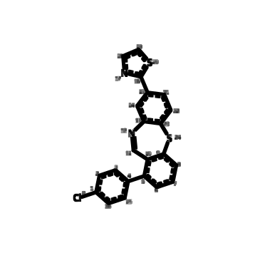 Clc1ccc(-c2cccc3c2C=Nc2cc(-c4nccs4)ccc2S3)cc1